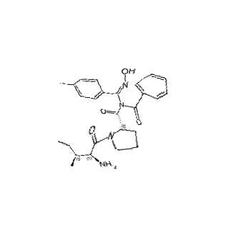 [CH2]c1ccc(C(=NO)N(C(=O)c2ccccc2)C(=O)[C@@H]2CCCN2C(=O)[C@@H](N)[C@@H](C)CC)cc1